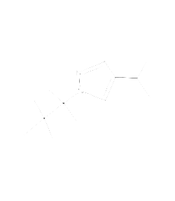 CC(C)c1cnn(C(C)(C)C(C)(C)C)c1